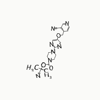 CC(C)(C#N)OC(=O)N1CCN(c2ncc(OCc3ccncc3C#N)cn2)CC1